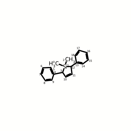 C[Si]1(C)C(c2ccccc2)C=CC1c1ccccc1